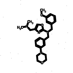 COc1cccc(CN(Cc2cccc(N3CCOCC3)c2)c2nc(CN(C)C)co2)c1